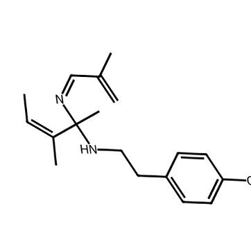 C=C(C)/C=N\C(C)(NCCc1ccc(O)cc1)/C(C)=C\C